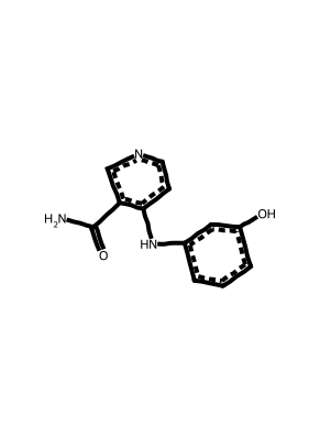 NC(=O)c1cnccc1Nc1cccc(O)c1